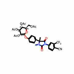 CC(=O)OC[C@H]1O[C@@H](Oc2ccc(C3(C)C(=O)N(c4ccc(C#N)c(C(F)(F)F)c4)C(=O)N3C)cc2)[C@H](OC(C)=O)[C@@H](OC(C)=O)[C@@H]1OC(C)=O